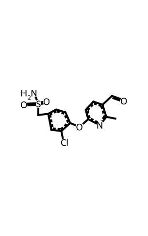 Cc1nc(Oc2ccc(CS(N)(=O)=O)cc2Cl)ccc1C=O